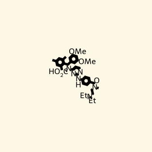 CCN(CC)CCN(C)C(=O)c1ccc(Nc2nccc(N(C(=O)O)C(c3cc(OC)cc(OC)c3)c3c(C)cc(C)cc3C)n2)cc1